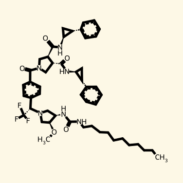 CCCCCCCCCCCNC(=O)N[C@H]1CN([C@@H](c2ccc(C(=O)N3C[C@@H](C(=O)N[C@H]4C[C@@H]4c4ccccc4)[C@H](C(=O)N[C@H]4C[C@@H]4c4ccccc4)C3)cc2)C(F)(F)F)C[C@@H]1OC